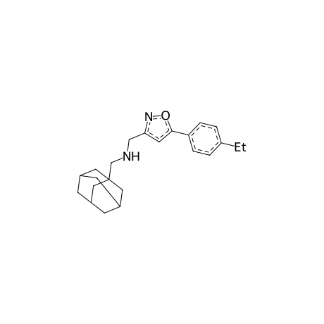 CCc1ccc(-c2cc(CNCC34CC5CC(CC(C5)C3)C4)no2)cc1